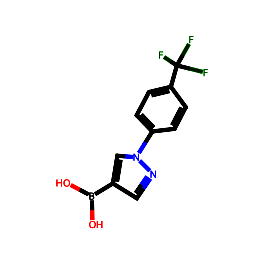 OB(O)c1cnn(-c2ccc(C(F)(F)F)cc2)c1